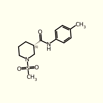 Cc1ccc(NC(=O)[C@H]2CCCN(S(C)(=O)=O)C2)cc1